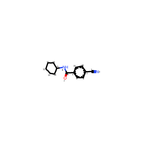 N#Cc1ccc(C(=O)NC2CCCCC2)cc1